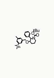 Cc1cc(COC2CCCN(C(=O)OC(C)(C)C)C2c2ccccc2)cc([Si](C)(C)C)c1